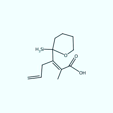 C=CCC(=C(C)C(=O)O)C1([SiH3])CCCCO1